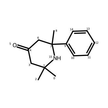 CC1(C)CC(=O)CC(C)(c2ccccc2)N1